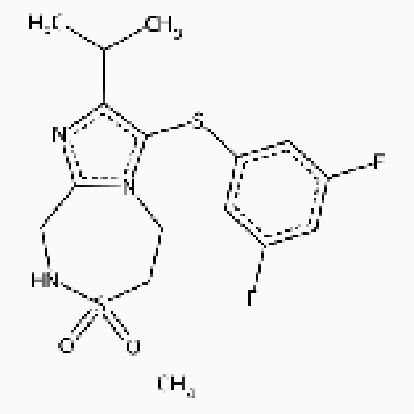 C.CC(C)c1nc2n(c1Sc1cc(F)cc(F)c1)CCS(=O)(=O)NC2